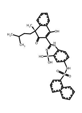 CC(C)CC[C@@]1(C)C(=O)C(C2=NS(O)(O)c3cc(NS(=O)(=O)c4cccc5ccccc45)ccc3N2)=C(O)c2ccccc21